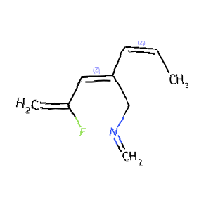 C=NCC(/C=C\C)=C\C(=C)F